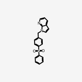 O=S(=O)(c1ccccc1)c1ccc(Cn2ccc3cccnc32)cc1